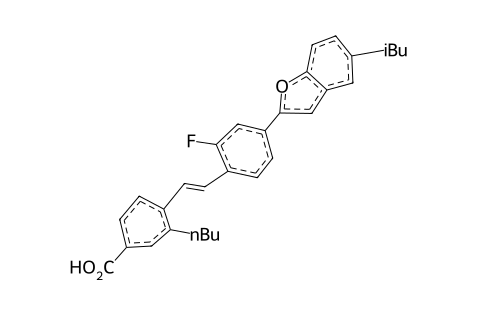 CCCCc1cc(C(=O)O)ccc1/C=C/c1ccc(-c2cc3cc(C(C)CC)ccc3o2)cc1F